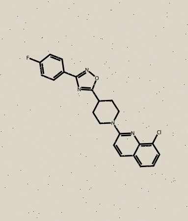 Fc1ccc(-c2noc(C3CCN(c4ccc5cccc(Cl)c5n4)CC3)n2)cc1